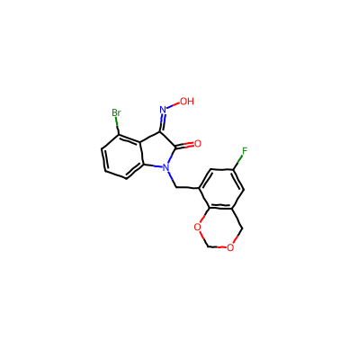 O=C1/C(=N\O)c2c(Br)cccc2N1Cc1cc(F)cc2c1OCOC2